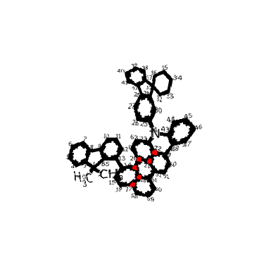 CC1(C)c2ccccc2-c2cccc(-c3ccccc3-c3ccc(N(c4ccc5c(c4)C4(CCCCC4)c4ccccc4-5)c4ccccc4-c4ccc5c(ccc6ccccc65)c4)cc3)c21